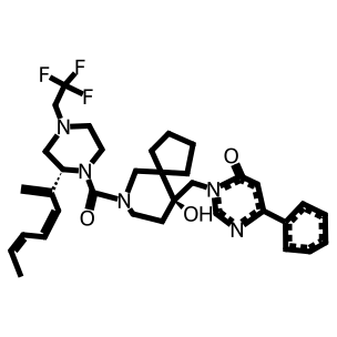 C=C(/C=C\C=C/C)[C@@H]1CN(CC(F)(F)F)CCN1C(=O)N1CC[C@@](O)(Cn2cnc(-c3ccccc3)cc2=O)C2(CCCC2)C1